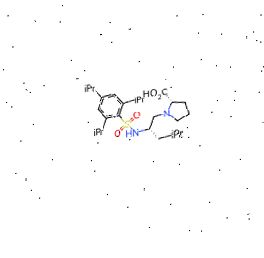 CC(C)C[C@@H](CN1CCC[C@H]1C(=O)O)NS(=O)(=O)c1c(C(C)C)cc(C(C)C)cc1C(C)C